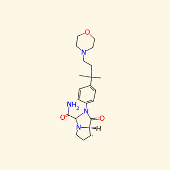 CC(C)(CCN1CCOCC1)c1ccc(N2C(=O)[C@@H]3[CH]CCN3C2C(N)=O)cc1